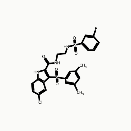 Cc1cc(C)cc(S(=O)(=O)c2c(C(=O)NCCNS(=O)(=O)c3cccc(F)c3)[nH]c3ccc(Cl)cc23)c1